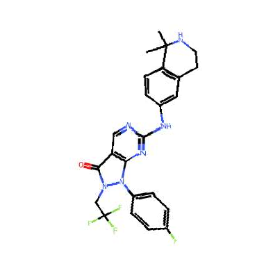 CC1(C)NCCc2cc(Nc3ncc4c(=O)n(CC(F)(F)F)n(-c5ccc(F)cc5)c4n3)ccc21